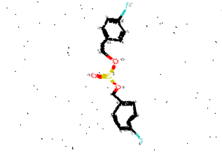 O=S(OCc1ccc(F)cc1)OCc1ccc(F)cc1